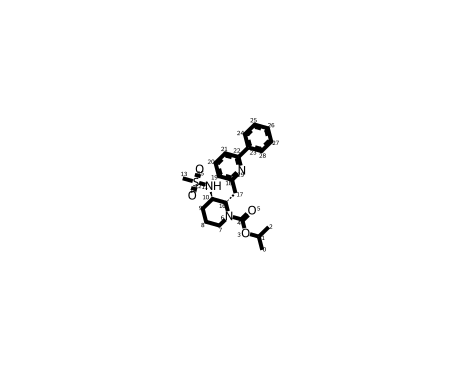 CC(C)OC(=O)N1CCC[C@H](NS(C)(=O)=O)[C@@H]1Cc1cccc(-c2ccccc2)n1